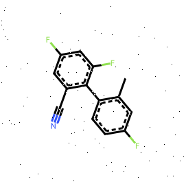 Cc1cc(F)ccc1-c1c(F)[c]c(F)cc1C#N